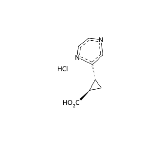 Cl.O=C(O)[C@@H]1C[C@H]1c1cnccn1